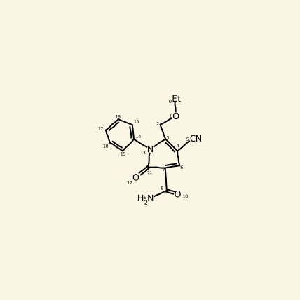 CCOCc1c(C#N)cc(C(N)=O)c(=O)n1-c1ccccc1